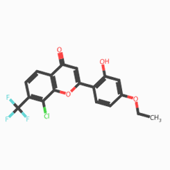 CCOc1ccc(-c2cc(=O)c3ccc(C(F)(F)F)c(Cl)c3o2)c(O)c1